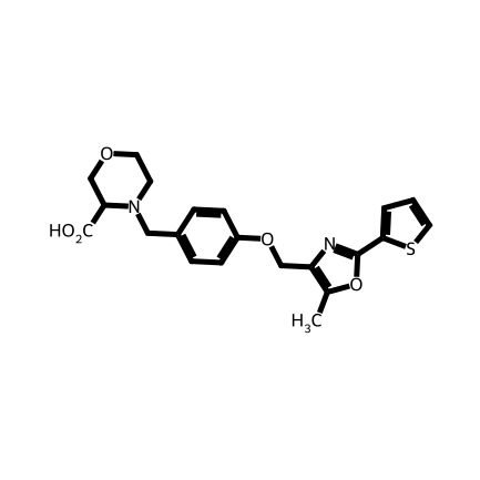 Cc1oc(-c2cccs2)nc1COc1ccc(CN2CCOCC2C(=O)O)cc1